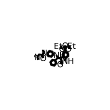 CCOP(=O)(OCC)c1ccc2c(c1)C(=C(Nc1ccc(N(C)C(=O)CN(C)C)cc1)c1ccccc1)C(=O)N2